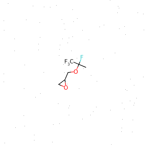 CC(F)(OCC1CO1)C(F)(F)F